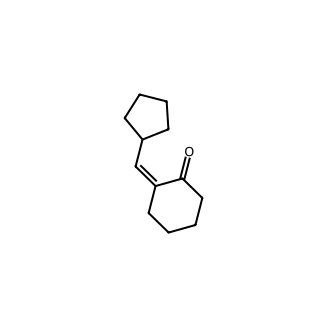 O=C1CCCCC1=CC1CCCC1